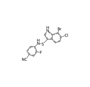 N#Cc1ccc(NSc2c[nH]c3c(Br)c(Cl)ccc23)c(F)c1